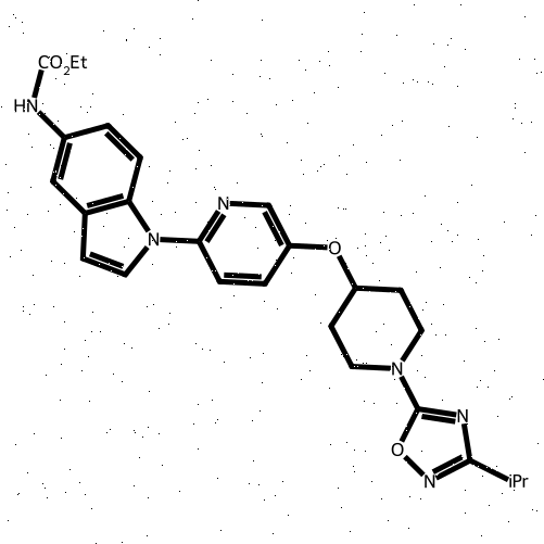 CCOC(=O)Nc1ccc2c(ccn2-c2ccc(OC3CCN(c4nc(C(C)C)no4)CC3)cn2)c1